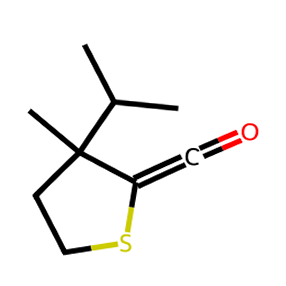 CC(C)C1(C)CCSC1=C=O